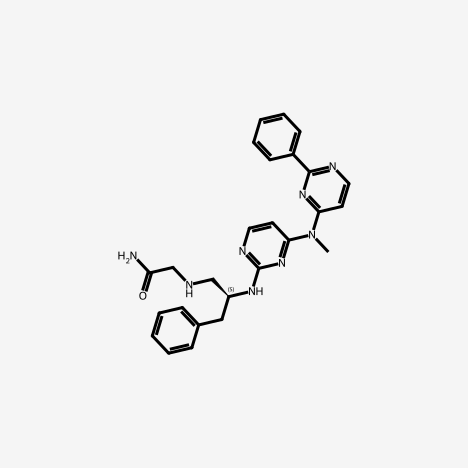 CN(c1ccnc(N[C@H](CNCC(N)=O)Cc2ccccc2)n1)c1ccnc(-c2ccccc2)n1